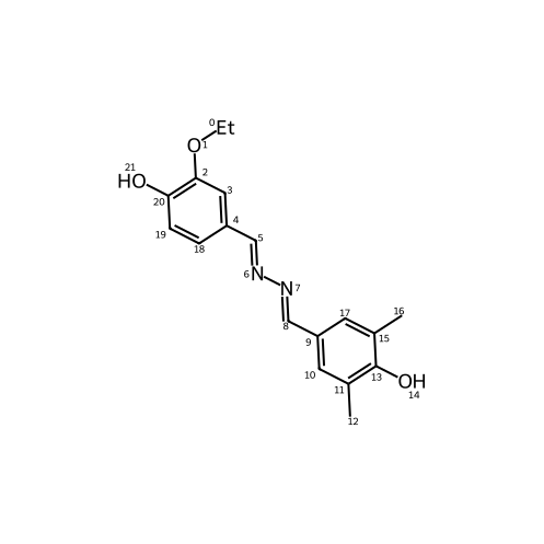 CCOc1cc(/C=N/N=C/c2cc(C)c(O)c(C)c2)ccc1O